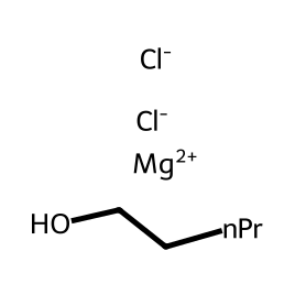 CCCCCO.[Cl-].[Cl-].[Mg+2]